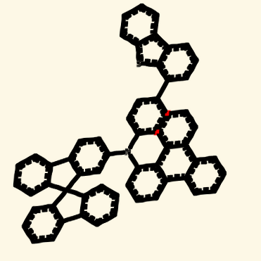 c1ccc2c(c1)-c1ccccc1C21c2ccccc2-c2ccc(N(c3ccc(-c4cccc5c4sc4ccccc45)cc3)c3cccc4c5ccccc5c5ccccc5c34)cc21